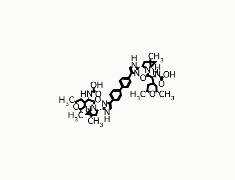 C[C@@H]1CC([C@H](NC(=O)O)C(=O)N2[C@H](c3nc(-c4ccc(-c5ccc(-c6c[nH]c([C@@H]7CC8(C)C[C@H]8N7C(=O)[C@@H](NC(=O)O)C7C[C@@H](C)O[C@H](C)C7)n6)cc5)cc4)c[nH]3)CC3(C)C[C@@H]23)C[C@@H](C)O1